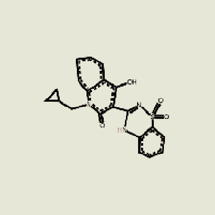 O=c1c(C2=NS(=O)(=O)c3ccccc3N2)c(O)c2ccccc2n1CC1CC1